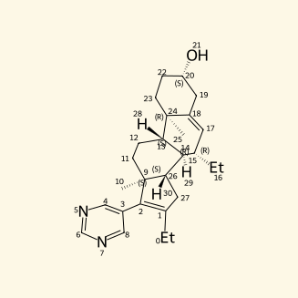 CCC1=C(c2cncnc2)[C@@]2(C)CC[C@H]3[C@@H]([C@@H](CC)C=C4C[C@@H](O)CC[C@@]43C)[C@@H]2C1